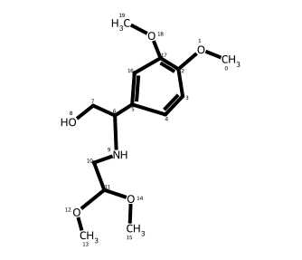 COc1ccc(C(CO)NCC(OC)OC)cc1OC